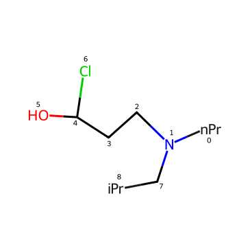 CCCN(CCC(O)Cl)CC(C)C